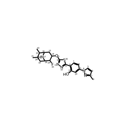 Cc1ccn(-c2ccc(-c3nnc(OC4CC5NC(CC(C)C5C)C4F)s3)c(O)c2)n1